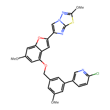 COc1cc(COc2cc(OC)cc3oc(-c4cn5nc(OC)sc5n4)cc23)cc(-c2ccc(Cl)nc2)c1